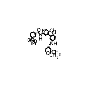 CC(C)S(=O)(=O)N1CCC[C@H](C(=O)Nc2cc(-c3cc(NC[C@H]4CCOC(C)(C)C4)ccc3Cl)c(Cl)cn2)C1